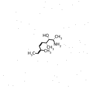 C/C=C(C)\C=C/[C@@H](C)[C@H](O)[C@H](C)N